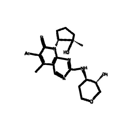 CC(=O)c1c(C)c2cnc(N[C@@H]3CCOC[C@H]3O)nc2n([C@@H]2CCC[C@@]2(C)O)c1=O